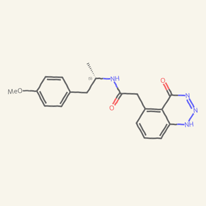 COc1ccc(C[C@H](C)NC(=O)Cc2cccc3[nH]nnc(=O)c23)cc1